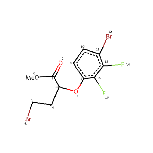 COC(=O)C(CCBr)Oc1ccc(Br)c(F)c1F